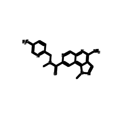 CN(Cc1ccc(C(F)(F)F)cn1)C(=O)c1cc2c(cn1)nc(N)c1cnn(C)c12